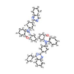 c1ccc(-c2nc(-c3ccc(N4c5ccccc5Oc5ccc(-c6ccc7c(c6)N(c6ccc(-c8ncc9ccccc9n8)cc6)c6ccccc6O7)cc54)cc3)nc3ccccc23)cc1